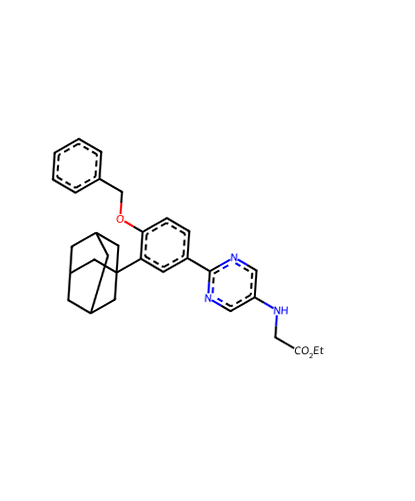 CCOC(=O)CNc1cnc(-c2ccc(OCc3ccccc3)c(C34CC5CC(CC(C5)C3)C4)c2)nc1